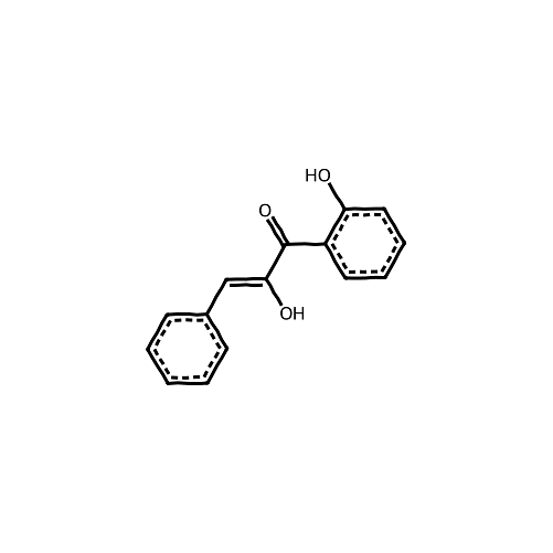 O=C(C(O)=Cc1ccccc1)c1ccccc1O